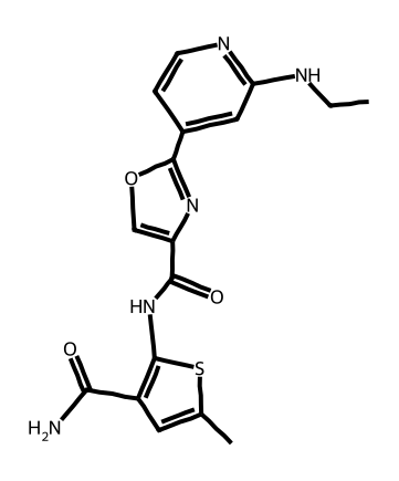 CCNc1cc(-c2nc(C(=O)Nc3sc(C)cc3C(N)=O)co2)ccn1